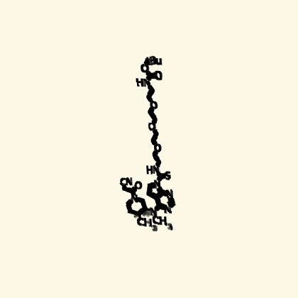 C[C@@H]1CCN(C(=O)CC#N)C[C@@H]1N(C)c1ncnc2c1ccn2C(=S)NCCOCCOCCOCCNC(=O)OC(C)(C)C